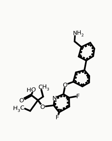 CCC(CC)(Oc1nc(Oc2cccc(-c3cccc(CN)c3)c2)c(F)cc1F)C(=O)O